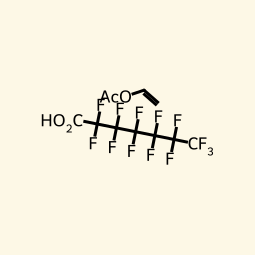 C=COC(C)=O.O=C(O)C(F)(F)C(F)(F)C(F)(F)C(F)(F)C(F)(F)C(F)(F)F